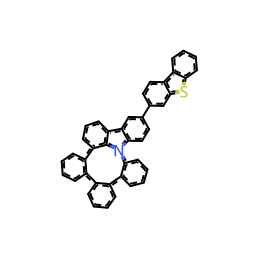 c1ccc2c(c1)sc1cc(-c3ccc4c(c3)c3cccc5c6ccccc6c6ccccc6c6ccccc6n4c53)ccc12